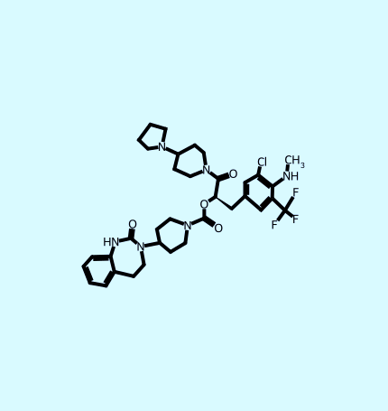 CNc1c(Cl)cc(C[C@@H](OC(=O)N2CCC(N3CCc4ccccc4NC3=O)CC2)C(=O)N2CCC(N3CCCC3)CC2)cc1C(F)(F)F